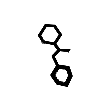 FC(Cc1ccccc1)C1CCCC[N]1